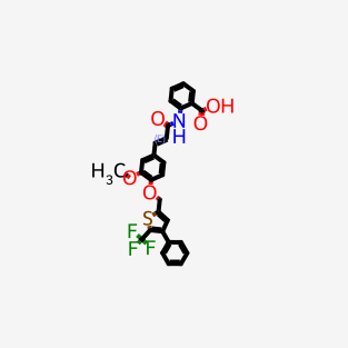 COc1cc(/C=C/C(=O)Nc2ccccc2C(=O)O)ccc1OCc1cc(-c2ccccc2)c(C(F)(F)F)s1